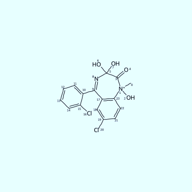 C[N+]1(O)C(=O)C(O)(O)N=C(c2ccccc2Cl)c2cc(Cl)ccc21